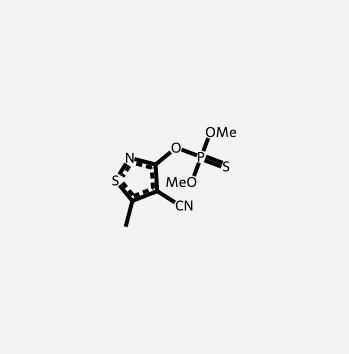 COP(=S)(OC)Oc1nsc(C)c1C#N